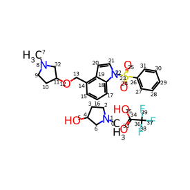 CN1CCC(O)C1.CN1CCC(OCc2cccc3c2ccn3S(=O)(=O)c2ccccc2)C1.O=C(O)C(F)(F)F